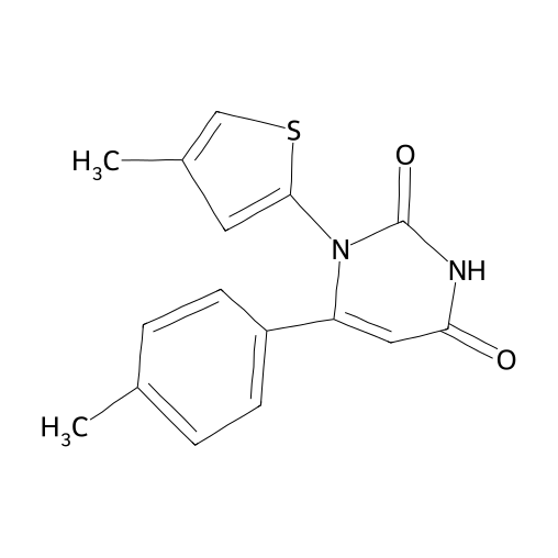 Cc1ccc(-c2cc(=O)[nH]c(=O)n2-c2cc(C)cs2)cc1